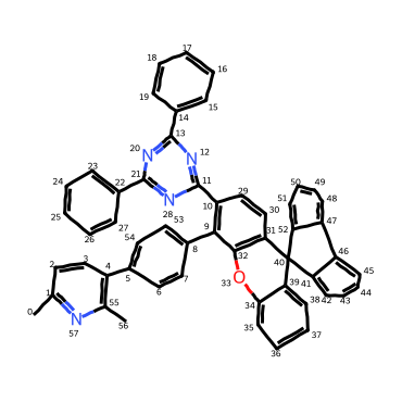 Cc1ccc(-c2ccc(-c3c(-c4nc(-c5ccccc5)nc(-c5ccccc5)n4)ccc4c3Oc3ccccc3C43c4ccccc4-c4ccccc43)cc2)c(C)n1